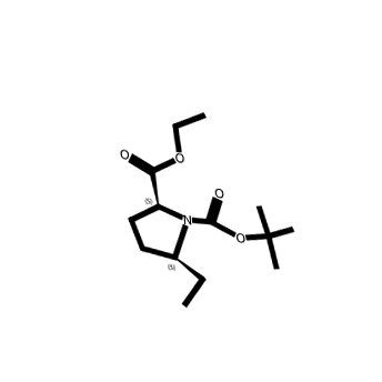 CCOC(=O)[C@@H]1CC[C@H](CC)N1C(=O)OC(C)(C)C